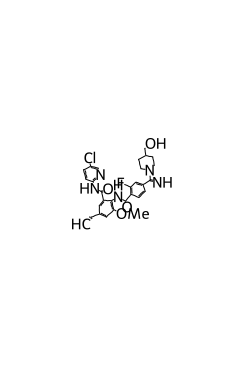 C#Cc1cc(OC)c(NC(=O)c2ccc(C(=N)N3CCC(CO)CC3)cc2F)c(C(=O)Nc2ccc(Cl)cn2)c1